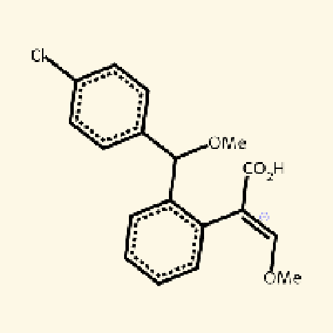 CO/C=C(/C(=O)O)c1ccccc1C(OC)c1ccc(Cl)cc1